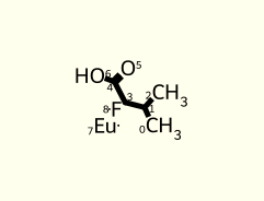 CC(C)CC(=O)O.[Eu].[F]